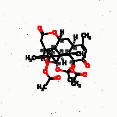 C=C1[C@H](OC(C)=O)[C@]2(OC(C)=O)OC[C@]34[C@H]2[C@@]2(C)[C@H](OC(C)=O)C(=O)C=C(C)[C@@H]2C[C@H]3OC(=O)C[C@@H]14